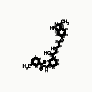 Cc1cccc(S(=O)(=O)Nc2cccc(C(O)CNCCOc3ccc4c(C)n[nH]c4c3)c2)c1